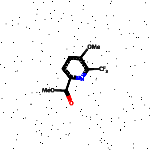 COC(=O)c1ccc(OC)c(C(F)(F)F)n1